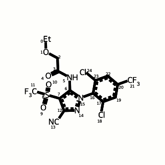 CCOCC(=O)Nc1c(S(=O)(=O)C(F)(F)F)c(C#N)nn1-c1c(Cl)cc(C(F)(F)F)cc1Cl